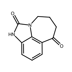 O=C1CCCn2c(=O)[nH]c3cccc1c32